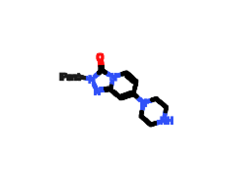 CCCC(C)n1nc2cc(N3CCNCC3)ccn2c1=O